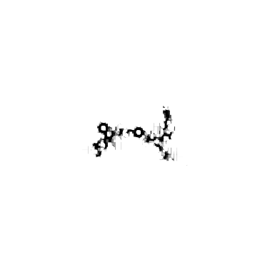 CCOCc1nc2c(NC(=O)OCc3ccc(NC(=O)[C@H](CCCNC(N)=O)NC(=O)[C@@H](NC(=O)CN=[N+]=[N-])C(C)C)cc3)nc3ccccc3c2n1CC(C)(C)O